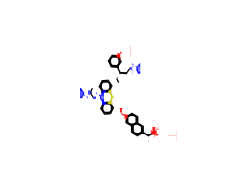 CC(CN1c2ccccc2Sc2ccccc21)N(C)C.CC[C@@H](c1cccc(O)c1)[C@@H](C)CN(C)C.COc1ccc2cc([C@H](C)C(=O)O)ccc2c1